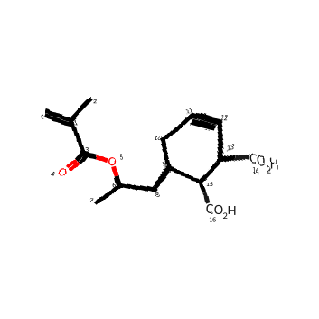 C=C(C)C(=O)OC(C)CC1CC=CC(C(=O)O)C1C(=O)O